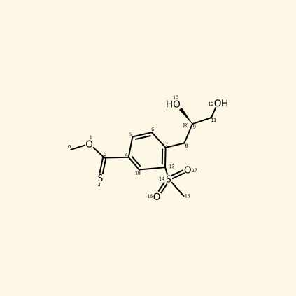 COC(=S)c1ccc(C[C@@H](O)CO)c(S(C)(=O)=O)c1